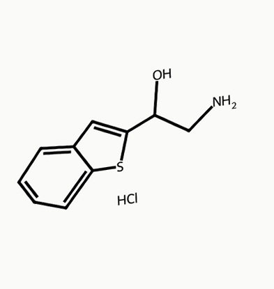 Cl.NCC(O)c1cc2ccccc2s1